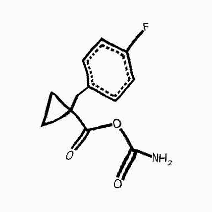 NC(=O)OC(=O)C1(c2ccc(F)cc2)CC1